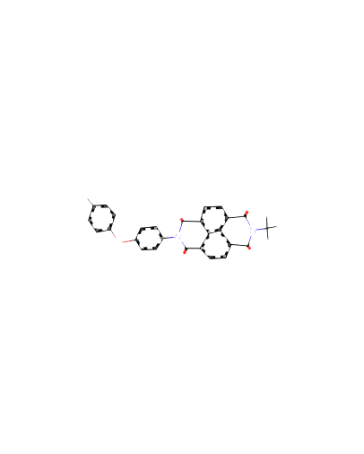 CCC(C)(CC)N1C(=O)c2ccc3c4c(ccc(c24)C1=O)C(=O)N(c1ccc(Oc2ccc(C)cc2)cc1)C3=O